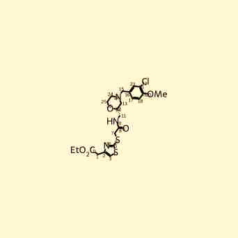 CCOC(=O)Cc1csc(SCC(=O)NC[C@H]2CN(Cc3ccc(OC)c(Cl)c3)CCO2)n1